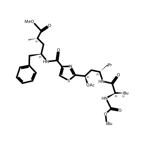 CC[C@H](C)[C@@H](NC(=O)OC(C)(C)C)C(=O)N[C@H](C[C@@H](OC(C)=O)c1nc(C(=O)N[C@@H](Cc2ccccc2)C[C@H](C)C(=O)OC)cs1)C(C)C